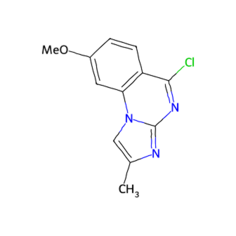 COc1ccc2c(Cl)nc3nc(C)cn3c2c1